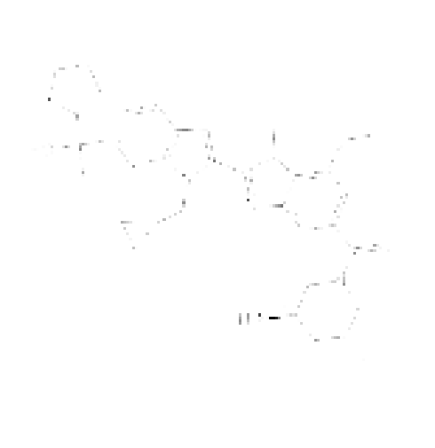 COc1cc(C(=O)N2C[C@H](N)C[C@@H](F)C2)cc2nc(-c3cc4ccc(C(C)(O)C5CCCC5)nc4n3CC3CC3)n(C)c12